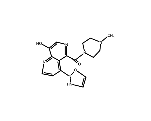 CN1CCN(C(=O)c2ncc(O)c3nccc(N4NC=CO4)c23)CC1